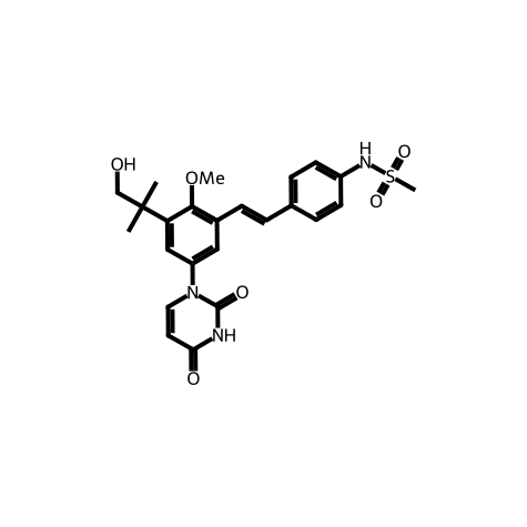 COc1c(C=Cc2ccc(NS(C)(=O)=O)cc2)cc(-n2ccc(=O)[nH]c2=O)cc1C(C)(C)CO